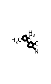 Cc1ccc(C)c(-c2ccc(C#N)c(Cl)c2)c1